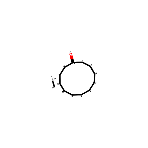 CC(C)C.O=C1CCCCCCCCCCC1